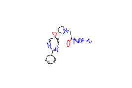 NC(=O)CN1CCC(Oc2cnc(-c3ccccc3)nc2)C1